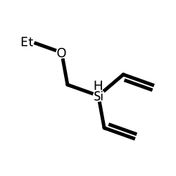 C=C[SiH](C=C)COCC